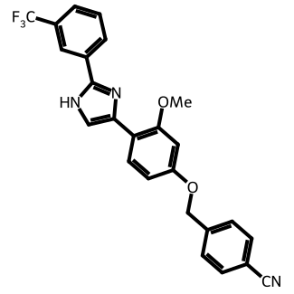 COc1cc(OCc2ccc(C#N)cc2)ccc1-c1c[nH]c(-c2cccc(C(F)(F)F)c2)n1